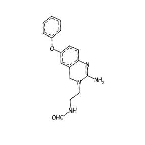 NC1=Nc2ccc(Oc3ccccc3)cc2CN1CCNC=O